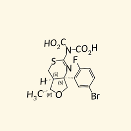 C[C@H]1OC[C@]2(c3cc(Br)ccc3F)N=C(N(C(=O)O)C(=O)O)SC[C@H]12